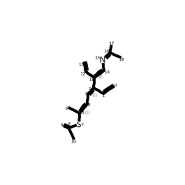 C=CC(=C\C=C(/C)SC(=C)C)/C(C=C)=C/N=C(C)C